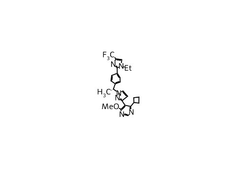 CCn1cc(C(F)(F)F)nc1-c1ccc([C@@H](C)n2ccc(-c3c(OC)ncnc3C3CCC3)n2)cc1